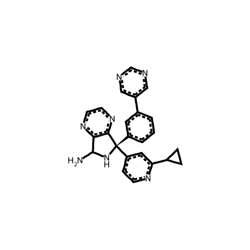 NC1N[C@@](c2cccc(-c3cncnc3)c2)(c2ccnc(C3CC3)c2)c2nccnc21